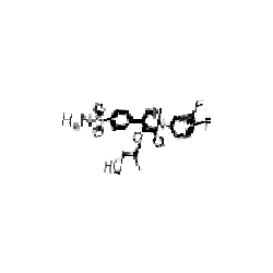 C[C@@H](CO)COc1c(-c2ccc(S(N)(=O)=O)cc2)cnn(-c2ccc(F)c(F)c2)c1=O